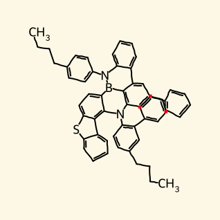 CCCCc1ccc(N2B3c4ccc5sc6ccccc6c5c4N(c4ccc(CCCC)cc4-c4ccccc4)c4cc(-c5ccccc5)cc(c43)-c3ccccc32)cc1